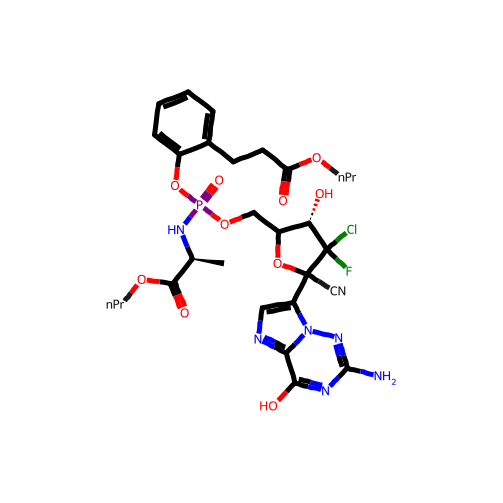 CCCOC(=O)CCc1ccccc1OP(=O)(N[C@@H](C)C(=O)OCCC)OCC1OC(C#N)(c2cnc3c(O)nc(N)nn23)C(F)(Cl)[C@H]1O